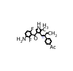 C=C/C(=C\c1c(C(=O)c2c(F)ccc(N)c2F)c[nH]c1C)c1ccc(C(C)=O)cc1